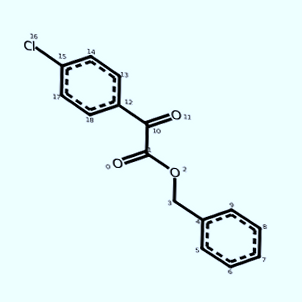 O=C(OCc1ccccc1)C(=O)c1ccc(Cl)cc1